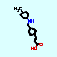 C[C@H]1CC[C@H](NCc2ccc(/C=C/C(=O)O)cc2)CC1